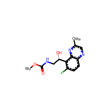 COc1cnc2ccc(F)c([C@@H](O)CNC(=O)OC(C)(C)C)c2n1